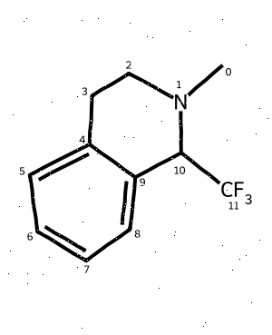 CN1CCc2ccccc2C1C(F)(F)F